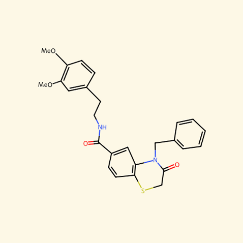 COc1ccc(CCNC(=O)c2ccc3c(c2)N(Cc2ccccc2)C(=O)CS3)cc1OC